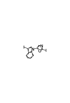 Ic1ncc(-n2cc(I)c3ccccc32)o1